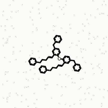 C(=Cc1cc(Cc2ccccc2)ccc1Oc1ccc(Cc2ccccc2)cc1C=CCCCc1ccccc1)CCCc1ccccc1